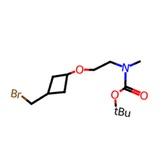 CN(CCOC1CC(CBr)C1)C(=O)OC(C)(C)C